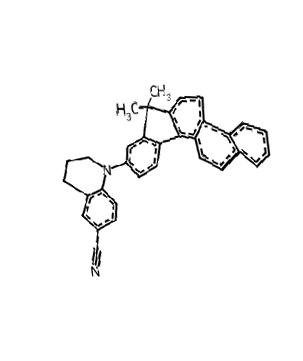 CC1(C)c2cc(N3CCCc4cc(C#N)ccc43)ccc2-c2c1ccc1c2ccc2ccccc21